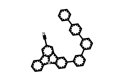 N#Cc1cc2c3ccccc3n3c4ccc(-c5cccc(-c6cccc(-c7ccc(-c8ccccc8)cc7)c6)c5)cc4c(c1)c23